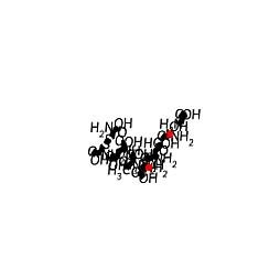 CC(N)C(=O)O.CC(O)C(N)C(=O)O.NC(CC(=O)O)C(=O)O.NC(CCC(=O)O)C(=O)O.NC(CO)C(=O)O.NC(CSSCC(N)C(=O)O)C(=O)O.NCC(=O)O